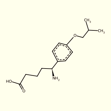 CC(C)COc1ccc([C@@H](N)CCCC(=O)O)cc1